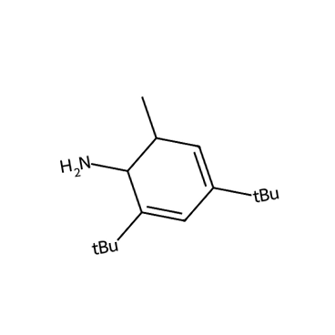 CC1C=C(C(C)(C)C)C=C(C(C)(C)C)C1N